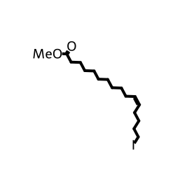 COC(=O)CCCCCCCCC/C=C\CCCCI